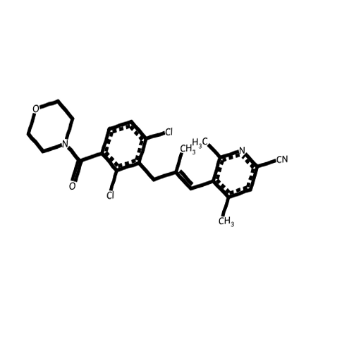 C/C(=C\c1c(C)cc(C#N)nc1C)Cc1c(Cl)ccc(C(=O)N2CCOCC2)c1Cl